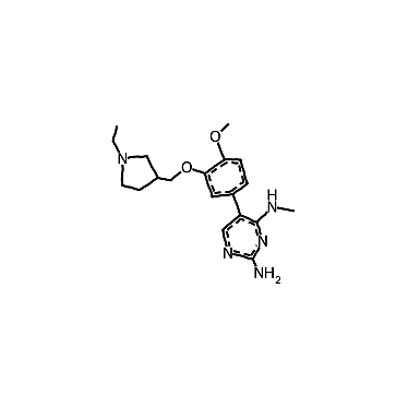 CCN1CCC(COc2cc(-c3cnc(N)nc3NC)ccc2OC)C1